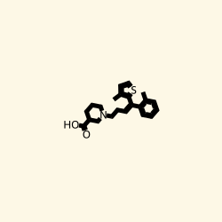 Cc1ccccc1C(=CCCN1CCCC(C(=O)O)C1)c1sccc1C